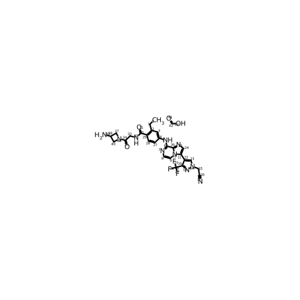 CCc1cc(Nc2nccn3c(-c4cn(CC#N)nc4C(F)(F)F)cnc23)ccc1C(=O)NCC(=O)N1CC(N)C1.O=CO